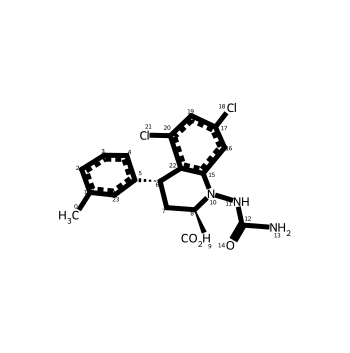 Cc1cccc([C@H]2C[C@H](C(=O)O)N(NC(N)=O)c3cc(Cl)cc(Cl)c32)c1